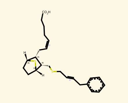 O=C(O)CCC/C=C\C[C@@H]1[C@H](CSC/C=C/Cc2ccccc2)[C@@H]2CC[C@H]1S2